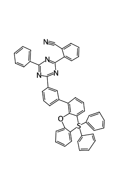 N#Cc1ccccc1-c1nc(-c2ccccc2)nc(-c2cccc(-c3cccc4c3Oc3ccccc3S4(c3ccccc3)c3ccccc3)c2)n1